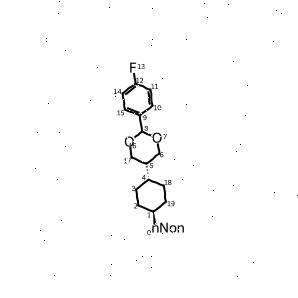 CCCCCCCCC[C@H]1CC[C@H](C2COC(c3ccc(F)cc3)OC2)CC1